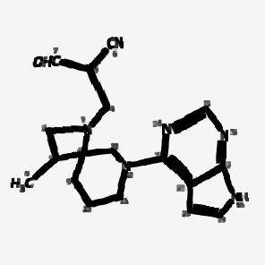 CC1CN(CC(C#N)C=O)C12CCCN(c1ncnc3[nH]ccc13)C2